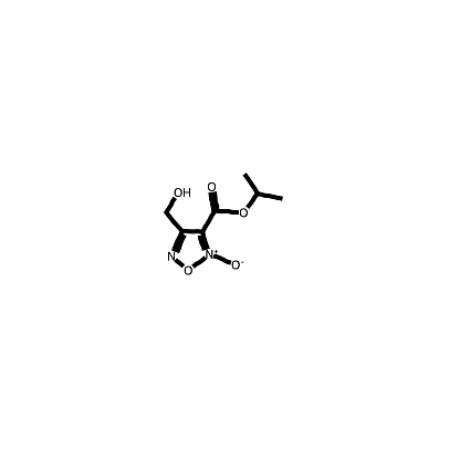 CC(C)OC(=O)c1c(CO)no[n+]1[O-]